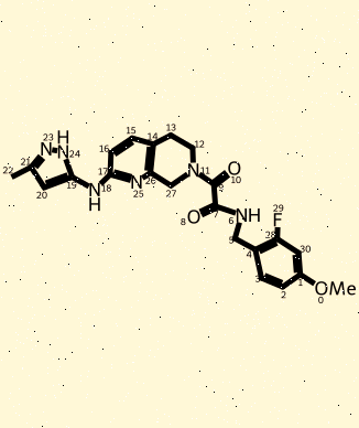 COc1ccc(CNC(=O)C(=O)N2CCc3ccc(Nc4cc(C)n[nH]4)nc3C2)c(F)c1